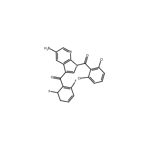 Bc1cnc2c(c1)c(C(=O)C1=C(F)C=CCC1F)cn2C(=O)c1c(Cl)cccc1Cl